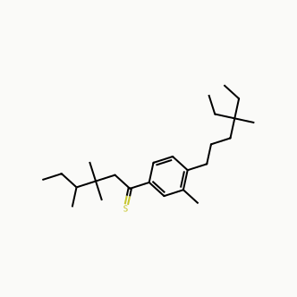 CCC(C)C(C)(C)CC(=S)c1ccc(CCCC(C)(CC)CC)c(C)c1